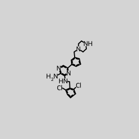 Nc1ncc(-c2cccc(CN3CCNCC3)c2)nc1NCc1c(Cl)cccc1Cl